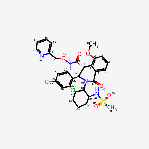 COc1cccc2c1[C@@H](C(=O)NOCc1ccccn1)[C@H](c1ccc(Cl)cc1Cl)N(C1CCCC[C@@H]1NS(C)(=O)=O)C2=O